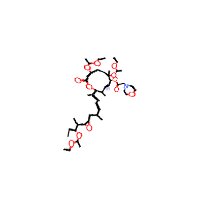 CCOC(C)OC1CCC(C)(OC(C)OCC)C(OC(=O)CN2CCOCC2)/C=C/C(C)C(C(C)=CC=CC(C)CC2OC2C(C)C(CC)OC(C)OCC)OC(=O)C1